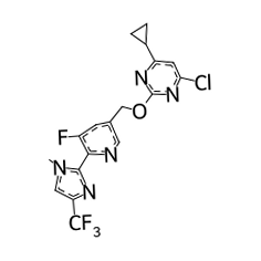 Cn1cc(C(F)(F)F)nc1-c1ncc(COc2nc(Cl)cc(C3CC3)n2)cc1F